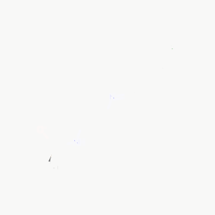 Cc1cc2ccc(Br)cc2nc1[C@@H](C)N[S@+]([O-])C(C)(C)C